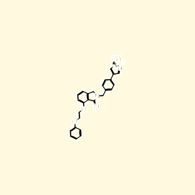 Cn1cc(-c2ccc(CN3Cc4cccc(OCCOc5ccccc5)c4C3=O)cc2)cn1